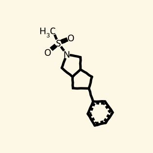 CS(=O)(=O)N1CC2CC(c3ccccc3)CC2C1